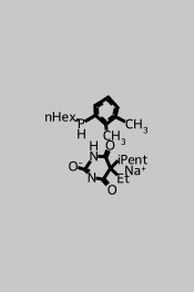 CCCC(C)C1(CC)C(=O)N=C([O-])NC1=O.CCCCCCPc1cccc(C)c1C.[Na+]